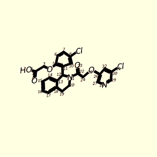 O=C(O)COc1ccc(Cl)cc1C1c2ccccc2CCN1C(=O)COc1cncc(Cl)c1